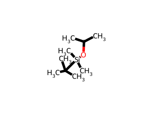 C[C](C)O[Si](C)(C)C(C)(C)C